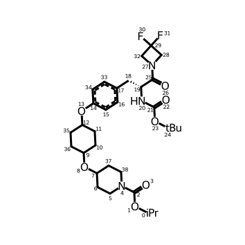 CC(C)OC(=O)N1CCC(OC2CCC(Oc3ccc(C[C@@H](NC(=O)OC(C)(C)C)C(=O)N4CC(F)(F)C4)cc3)CC2)CC1